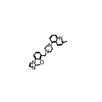 Cc1ccc2c(N3CCN(Cc4cccc5c4OCc4nccn4-5)CC3)cccc2n1